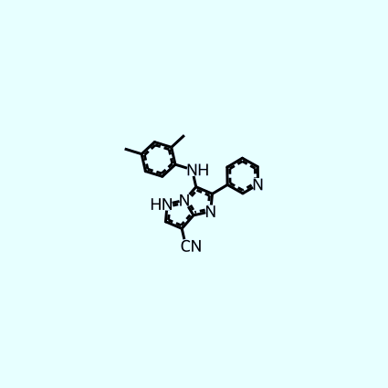 Cc1ccc(Nc2c(-c3cccnc3)nc3c(C#N)c[nH]n23)c(C)c1